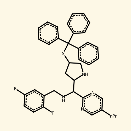 CCCc1cnc(C(NCc2cc(F)ccc2F)C2CC(SC(c3ccccc3)(c3ccccc3)c3ccccc3)CN2)nc1